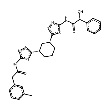 Cc1cccc(CC(=O)Nc2nnc([C@H]3CCC[C@H](c4nnc(NC(=O)[C@H](O)c5ccccc5)s4)C3)s2)c1